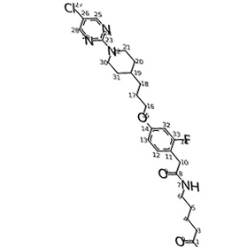 O=C(O)CCCCNC(=O)Cc1ccc(OCCCC2CCN(c3ncc(Cl)cn3)CC2)cc1F